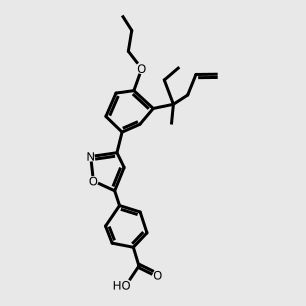 C=CCC(C)(CC)c1cc(-c2cc(-c3ccc(C(=O)O)cc3)on2)ccc1OCCC